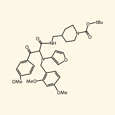 COc1ccc(C(=O)C(C(=O)NCC2CCN(C(=O)OC(C)(C)C)CC2)N(Cc2ccc(OC)cc2OC)c2ccoc2)cc1